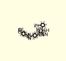 CC(C)c1ccccc1NC(S)=C(C#N)C(=O)Nc1ccc(-c2ncn(-c3ccc(OC(F)(F)F)cc3)n2)cc1